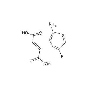 Nc1ccc(F)cc1.O=C(O)C=CC(=O)O